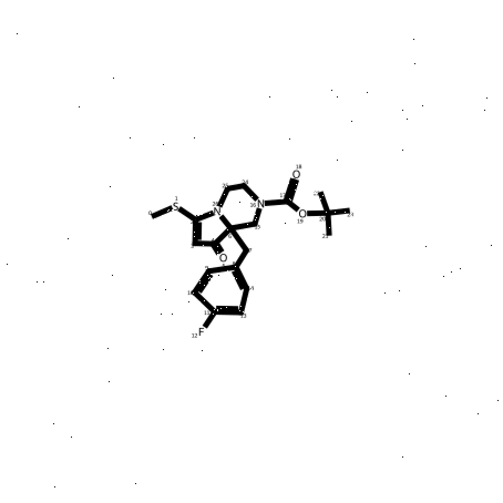 CSC1=CC(=O)C2(Cc3ccc(F)cc3)CN(C(=O)OC(C)(C)C)CCN12